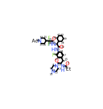 CCC(=O)N[C@@H](C(=O)N1CCN(C)CC1)[C@@H](C)c1ccc(NC(=O)[C@@H](NC(=O)C(F)(F)C2CCN(C(C)=O)CC2)C2CCCCC2)c(F)c1